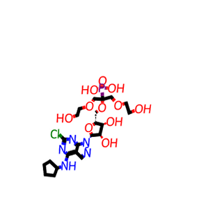 O=P(O)(O)C(COCCO)(COCCO)OC[C@H]1O[C@@H](n2ncc3c(NC4CCCC4)nc(Cl)nc32)[C@H](O)[C@@H]1O